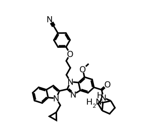 COc1cc(C(=O)N2CC3CCC2[C@@H]3N)cc2nc(-c3cc4ccccc4n3CC3CC3)n(CCCOc3ccc(C#N)cc3)c12